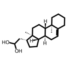 C[C@]12CC[C@H]3[C@@H](CC=C4CCCC[C@@]43C)[C@@H]1CC[C@@H]2CC(O)O